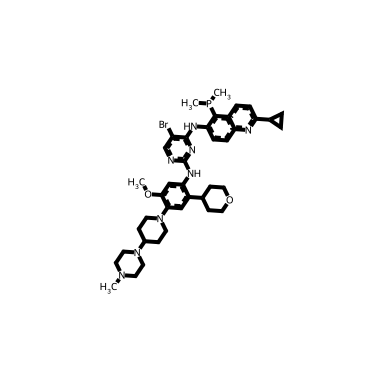 COc1cc(Nc2ncc(Br)c(Nc3ccc4nc(C5CC5)ccc4c3P(C)C)n2)c(C2CCOCC2)cc1N1CCC(N2CCN(C)CC2)CC1